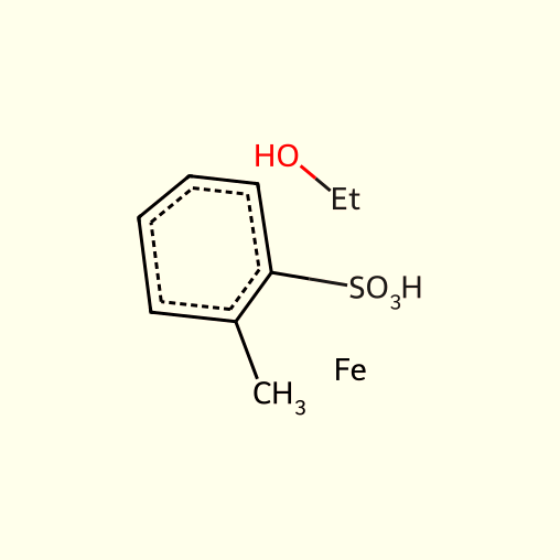 CCO.Cc1ccccc1S(=O)(=O)O.[Fe]